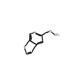 COc1cc2ccsc2cn1